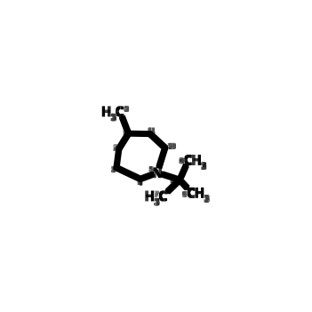 CC1CCCN(C(C)(C)C)CC1